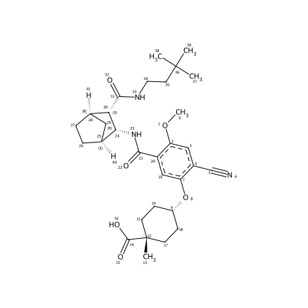 COc1cc(C#N)c(O[C@H]2CC[C@@](C)(C(=O)O)CC2)cc1C(=O)N[C@@H]1[C@H]2CC[C@H](C2)[C@@H]1C(=O)NCCC(C)(C)C